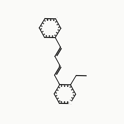 CCc1cnccc1/C=C/C=C/c1ccccc1